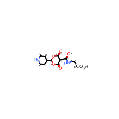 O=C(O)CNC(=O)C1C(=O)OC(C2CCNCC2)OC1=O